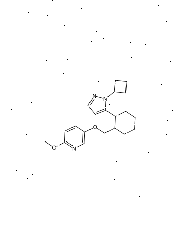 COc1ccc(OCC2CCCCC2c2ccnn2C2CCC2)cn1